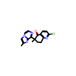 Cc1cn2ccnc(C3(C)CCc4nc(Cl)ccc4C3=O)c2n1